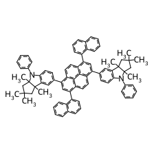 CC1(C)CC2(C)c3cc(-c4cc(-c5cccc6ccccc56)c5ccc6c(-c7ccc8c(c7)C7(C)CC(C)(C)CC7(C)N8c7ccccc7)cc(-c7cccc8ccccc78)c7ccc4c5c67)ccc3N(c3ccccc3)C2(C)C1